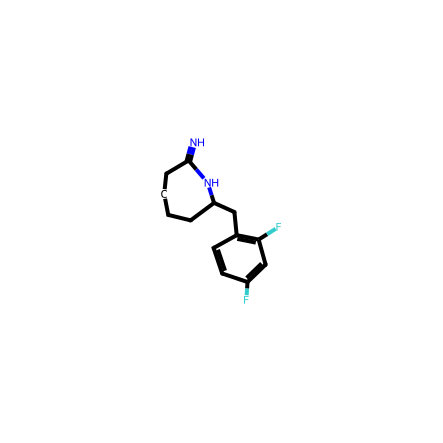 N=C1CCCCC(Cc2ccc(F)cc2F)N1